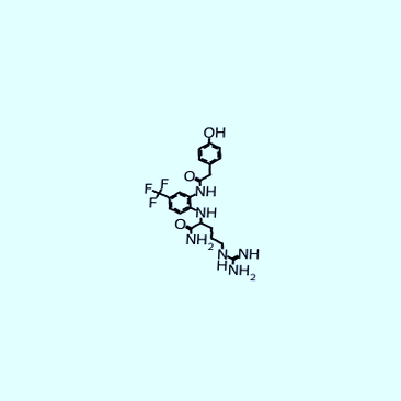 N=C(N)NCCCC(Nc1ccc(C(F)(F)F)cc1NC(=O)Cc1ccc(O)cc1)C(N)=O